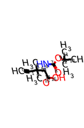 C#CC(C)(C)[C@H](NC(=O)OC(C)(C)C)C(=O)O